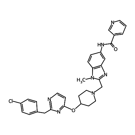 Cn1c(CN2CCC(Oc3ccnc(Cc4ccc(Cl)cc4)n3)CC2)nc2cc(NC(=O)c3cccnc3)ccc21